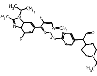 C=N/C=C(F)\C(=N/CNc1ccc(C(C=O)C2CCN(CC)CC2)cn1)C1=CC2C(N=C(C)N2C(C)C)C(F)=C1